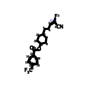 N#C/C(F)=C\CCC1CCC(OC(=O)c2ccc(C(F)(F)F)cc2)CC1